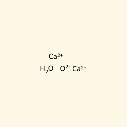 O.[Ca+2].[Ca+2].[O-2]